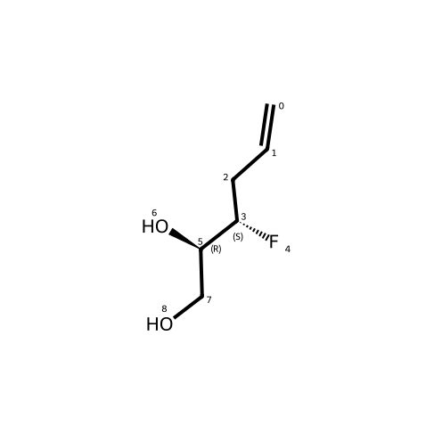 C=CC[C@H](F)[C@H](O)CO